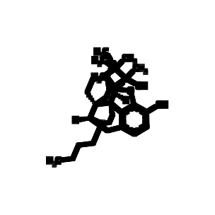 CCCCN1CC[C@]23c4c5ccc(O)c4O[C@H]2[C@@]2(OC)CC[C@@]3(C[C@@H]2C(C)(O)C(C)(C)C)[C@H]1C5